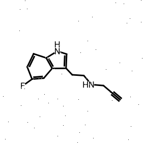 C#CCNCCc1c[nH]c2ccc(F)cc12